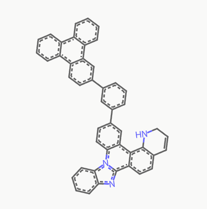 C1=Cc2ccc3c(c2NC1)c1cc(-c2cccc(-c4ccc5c6ccccc6c6ccccc6c5c4)c2)ccc1n1c2ccccc2nc31